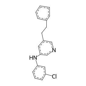 Clc1cccc(Nc2cncc(CCc3ccccc3)c2)c1